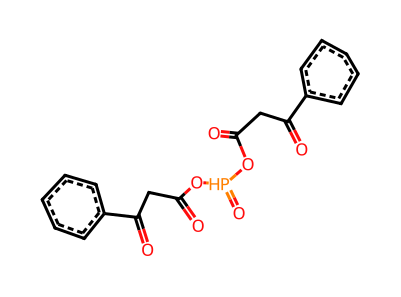 O=C(CC(=O)c1ccccc1)O[PH](=O)OC(=O)CC(=O)c1ccccc1